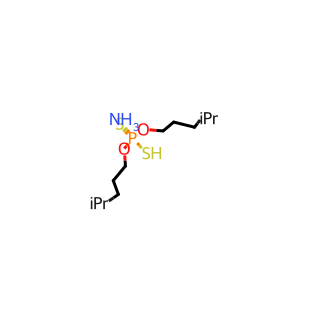 CC(C)CCCOP(=S)(S)OCCCC(C)C.N